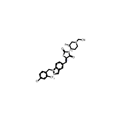 N#CCN1CC[C@H](N2C(=O)S/C(=C\c3ccc4c(cnn4Cc4ccc(Cl)cc4C(F)(F)F)c3)C2=O)[C@@H](F)C1